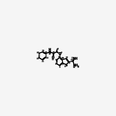 CC(Oc1cccc2sc(C(=N)N)cc12)C(=O)Nc1ccccc1